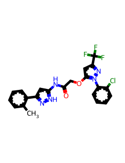 Cc1ccccc1-c1cc(NC(=O)COc2cc(C(F)(F)F)nn2-c2ccccc2Cl)[nH]n1